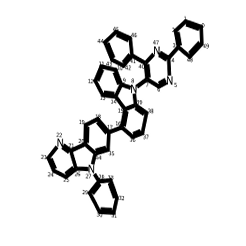 c1ccc(-c2ncc(-n3c4ccccc4c4c(-c5ccc6c7ncccc7n(-c7ccccc7)c6c5)cccc43)c(-c3ccccc3)n2)cc1